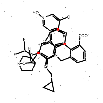 O=C([O-])c1cccc(CN(C(=O)O[C@H]2CN3CCC2CC3)c2ccccc2O)c1[C@@H](Cc1c(Cl)c[n+](O)cc1Cl)c1ccc(OC(F)F)c(OCC2CC2)c1